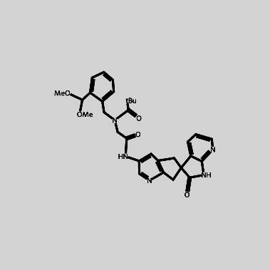 COC(OC)c1ccccc1CN(CC(=O)Nc1cnc2c(c1)CC1(C2)C(=O)Nc2ncccc21)C(=O)C(C)(C)C